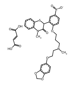 CN(CCCOc1ccc([N+](=O)[O-])cc1C1Sc2ccccc2N(C)C1=O)CCOc1ccc2c(c1)OCO2.O=C(O)/C=C/C(=O)O